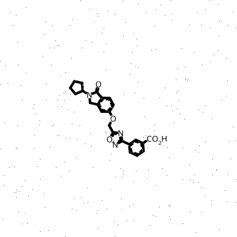 O=C(O)c1cccc(-c2noc(COc3ccc4c(c3)CN(C3CCCC3)C4=O)n2)c1